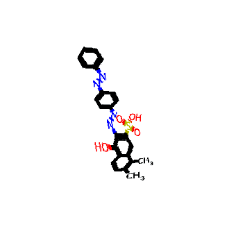 Cc1ccc2c(O)c(N=Nc3ccc(N=Nc4ccccc4)cc3)c(S(=O)(=O)O)cc2c1C